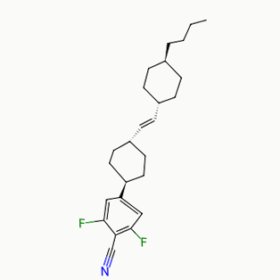 CCCC[C@H]1CC[C@H](C=C[C@H]2CC[C@H](c3cc(F)c(C#N)c(F)c3)CC2)CC1